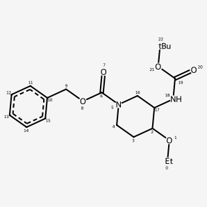 CCOC1CCN(C(=O)OCc2ccccc2)CC1NC(=O)OC(C)(C)C